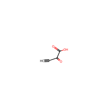 C#CC(=O)C(=O)O